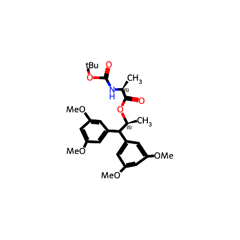 COc1cc(OC)cc(C(c2cc(OC)cc(OC)c2)[C@H](C)OC(=O)[C@H](C)NC(=O)OC(C)(C)C)c1